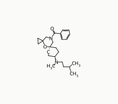 CC(C)CCN(C)[C@H]1CC[C@@]2(CC1)CN(C(=O)c1ccccc1)CC1(CC1)O2